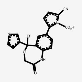 CCC1(c2ccsc2)OCC(=O)Nc2ccc(-c3ccc(C#N)n3C(=O)O)cc21